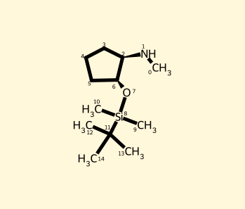 CN[C@@H]1CCC[C@@H]1O[Si](C)(C)C(C)(C)C